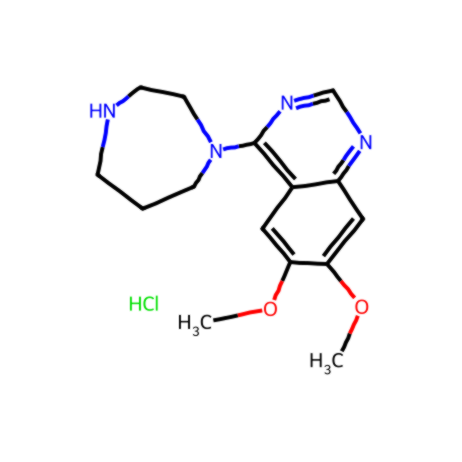 COc1cc2ncnc(N3CCCNCC3)c2cc1OC.Cl